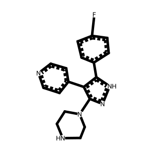 Fc1ccc(-c2[nH]nc(N3CCNCC3)c2-c2ccncc2)cc1